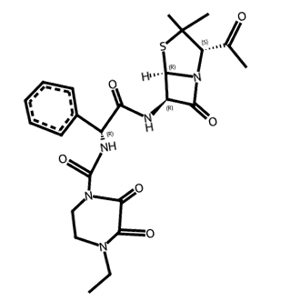 CCN1CCN(C(=O)N[C@@H](C(=O)N[C@@H]2C(=O)N3[C@@H]2SC(C)(C)[C@@H]3C(C)=O)c2ccccc2)C(=O)C1=O